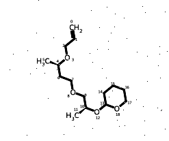 C=CCO[C@H](C)CCOC[C@H](C)OC1CCCCO1